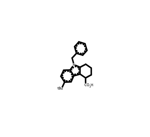 CC(C)(C)c1ccc2c(c1)c1c(n2Cc2ccccc2)CCCC1C(=O)O